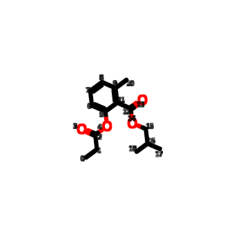 CCC(=O)Oc1cccc(C)c1C(=O)OCC(C)C